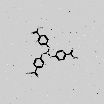 COC(=O)c1ccc(OP(Oc2ccc(C(=O)OC)cc2)Oc2ccc(C(=O)OC)cc2)cc1